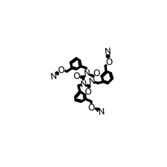 N#COCc1cccc(Cn2c(=O)n(Cc3cccc(COC#N)c3)c(=O)n(Cc3cccc(COC#N)c3)c2=O)c1